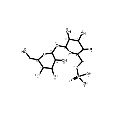 O=P(O)(O)OCC1OC(OC2OC(CO)C(O)C(O)C2O)C(O)C(O)C1O